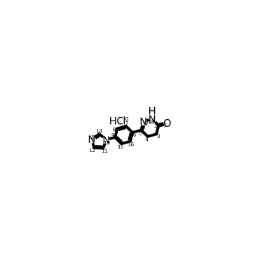 Cl.O=C1CCC(c2ccc(-n3ccnc3)cc2)=NN1